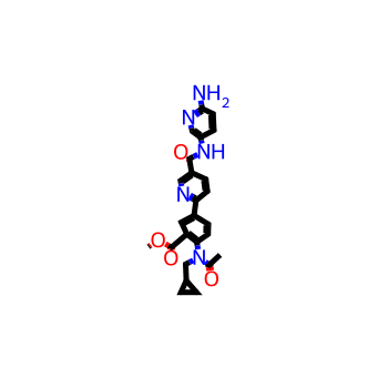 COC(=O)c1cc(-c2ccc(C(=O)Nc3ccc(N)nc3)cn2)ccc1N(CC1CC1)C(C)=O